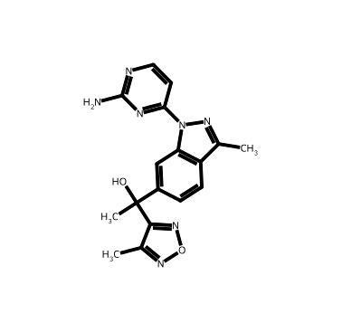 Cc1nonc1C(C)(O)c1ccc2c(C)nn(-c3ccnc(N)n3)c2c1